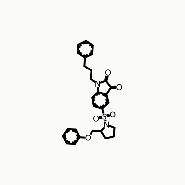 O=C1C(=O)N(CCCc2ccccc2)c2ccc(S(=O)(=O)N3CCCC3COc3ccccc3)cc21